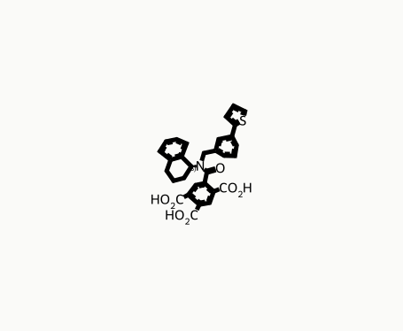 O=C(O)c1cc(C(=O)O)c(C(=O)N(Cc2cccc(-c3cccs3)c2)[C@H]2CCCc3ccccc32)cc1C(=O)O